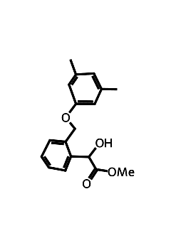 COC(=O)C(O)c1ccccc1COc1cc(C)cc(C)c1